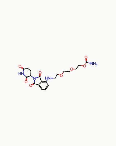 NC(=O)OCCOCCOCCNc1cccc2c1C(=O)N(C1CCC(=O)NC1=O)C2=O